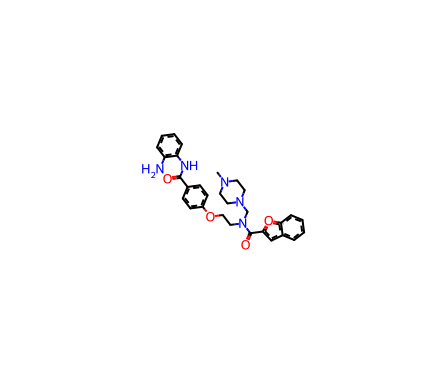 CN1CCN(CN(CCOc2ccc(C(=O)Nc3ccccc3N)cc2)C(=O)c2cc3ccccc3o2)CC1